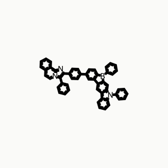 c1ccc(B2c3ccc(-c4ccc(-c5nc6c7ccccc7ccn6c5-c5ccccc5)cc4)cc3-c3cc4c5ccccc5n(-c5ccccc5)c4cc32)cc1